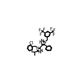 CC(C)c1nnc(-c2nnn(Cc3cc(C(F)(F)F)cc(C(F)(F)F)c3)c2-c2ccccc2)n1Cc1ccccc1Cl